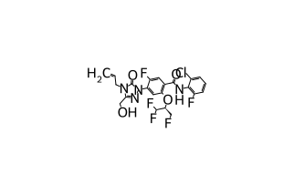 C=CCn1c(CO)nn(-c2cc(O[C@@H](CF)C(F)F)c(C(=O)Nc3c(F)cccc3Cl)cc2F)c1=O